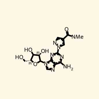 CNC(=O)c1cnn(-c2nc(N)c3ncn(C4O[C@H](CO)C(O)[C@H]4O)c3n2)c1